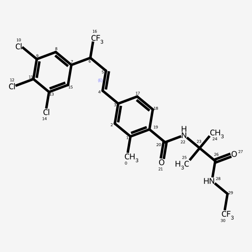 Cc1cc(/C=C/C(c2cc(Cl)c(Cl)c(Cl)c2)C(F)(F)F)ccc1C(=O)NC(C)(C)C(=O)NCC(F)(F)F